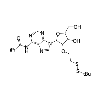 CC(C)C(=O)Nc1ncnc2c1ncn2C1OC(CO)C(O)C1OCCSSC(C)(C)C